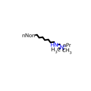 CCCCCCCCCCCCCCCCNC[N+](C)(C)CCC